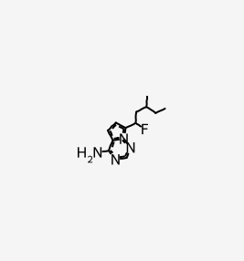 CCC(C)CC(F)c1ccc2c(N)ncnn12